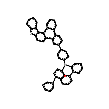 c1ccc(-c2ccc(N(c3ccc(-c4ccc5c6ccccc6c6c(ccc7oc8ccccc8c76)c5c4)cc3)c3ccccc3-c3ccccc3)cc2)cc1